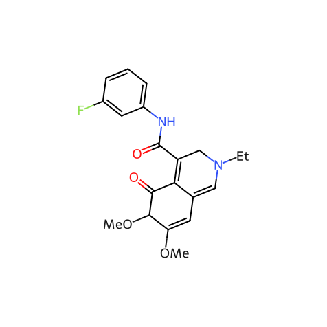 CCN1C=C2C=C(OC)C(OC)C(=O)C2=C(C(=O)Nc2cccc(F)c2)C1